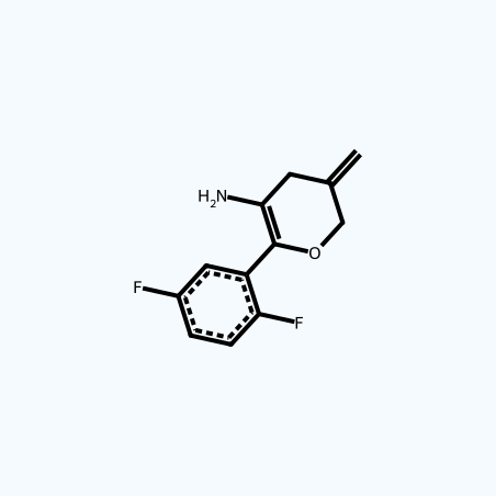 C=C1COC(c2cc(F)ccc2F)=C(N)C1